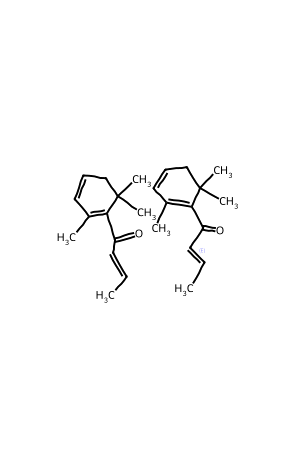 C/C=C/C(=O)C1=C(C)C=CCC1(C)C.CC=CC(=O)C1=C(C)C=CCC1(C)C